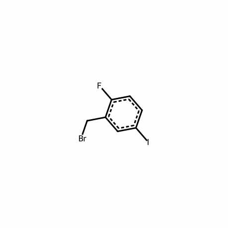 Fc1ccc(I)cc1CBr